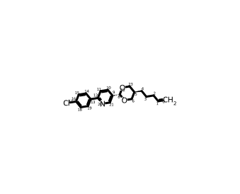 C=CCCC[C@H]1CO[C@H](c2ccc(-c3ccc(Cl)cc3)nc2)OC1